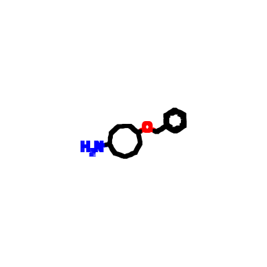 NC1CCCCC(OCc2ccccc2)CCC1